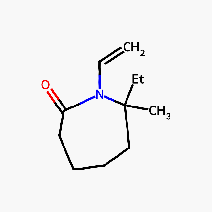 C=CN1C(=O)CCCCC1(C)CC